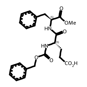 COC(=O)[C@H](Cc1ccccc1)NC(=O)[C@H](CCC(=O)O)NC(=O)OCc1ccccc1